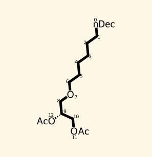 CCCCCCCCCCCCCCCCOC[C@H](COC(C)=O)OC(C)=O